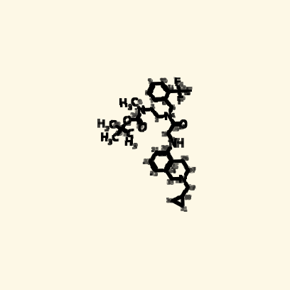 CN(CCN(Cc1ccccc1C(F)(F)F)C(=O)CNc1cccc2c1CCN(CC1CC1)C2)C(=O)OC(C)(C)C